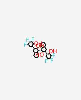 Oc1c(-c2cc3ccccc3c(-c3c(O)c(-c4cc(F)c(F)c(F)c4O)cc4ccccc34)c2O)cc(F)c(F)c1F